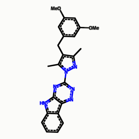 COc1cc(Cc2c(C)nn(-c3nnc4c(n3)[nH]c3ccccc34)c2C)cc(OC)c1